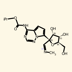 C/N=C\[C@@]1(c2ccc3c(NC(=O)OC(C)C)ncnn23)O[C@H](CO)[C@@H](O)[C@H]1O